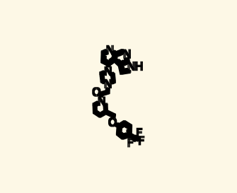 O=C(CN1CCN(c2ccnc3cnc4[nH]ccc4c23)CC1)N1CCCC(COc2ccc(C(F)(F)F)cc2)C1